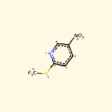 O=[N+]([O-])c1ccc(SC(F)(F)F)nc1